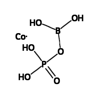 O=P(O)(O)OB(O)O.[Co]